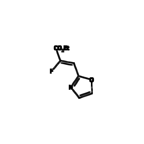 CCOC(=O)/C(F)=C/c1ncco1